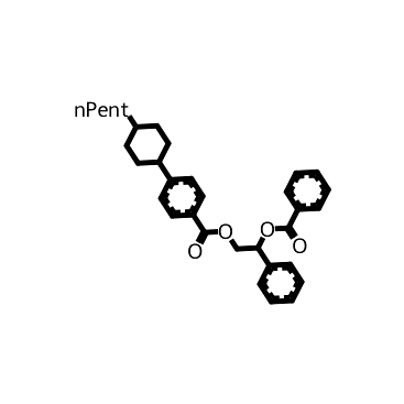 CCCCCC1CCC(c2ccc(C(=O)OCC(OC(=O)c3ccccc3)c3ccccc3)cc2)CC1